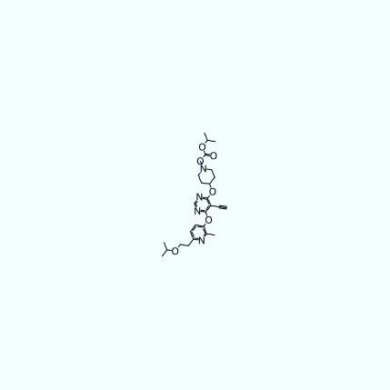 C#Cc1c(Oc2ccc(CCOC(C)C)nc2C)ncnc1OC1CCN(OC(=O)OC(C)C)CC1